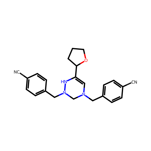 N#Cc1ccc(CN2C=C(C3CCCO3)NN(Cc3ccc(C#N)cc3)C2)cc1